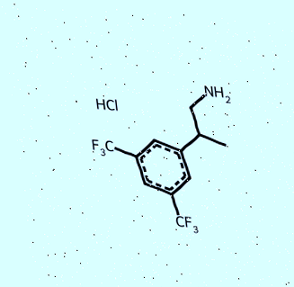 CC(CN)c1cc(C(F)(F)F)cc(C(F)(F)F)c1.Cl